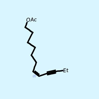 CCC#C/C=C\CCCCCCOC(C)=O